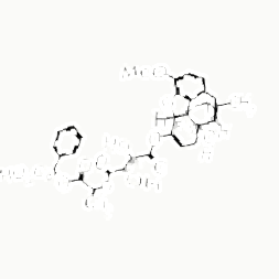 COc1ccc2c3c1O[C@H]1C(OC(=O)[C@H](O)[C@@H](O)C(=O)OC(C)C(=O)O[C@H](C(=O)O)c4ccccc4)=CC[C@@]4(O)[C@@H](C2)N(C)CC[C@]314